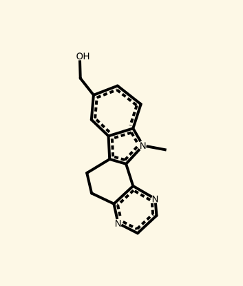 Cn1c2c(c3cc(CO)ccc31)CCc1nccnc1-2